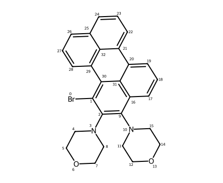 Brc1c(N2CCOCC2)c(N2CCOCC2)c2cccc3c4cccc5cccc(c1c23)c54